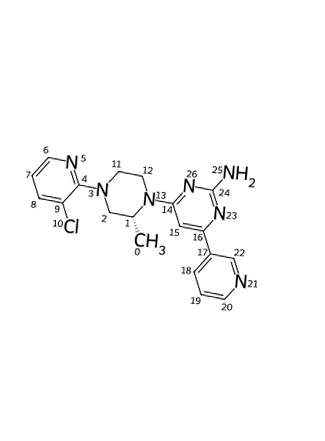 C[C@@H]1CN(c2ncccc2Cl)CCN1c1cc(-c2cccnc2)nc(N)n1